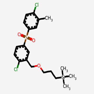 Cc1cc(S(=O)(=O)c2ccc(Cl)c(COCCC[Si](C)(C)C)c2)ccc1Cl